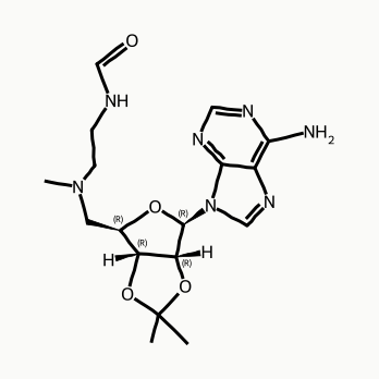 CN(CCNC=O)C[C@H]1O[C@@H](n2cnc3c(N)ncnc32)[C@@H]2OC(C)(C)O[C@@H]21